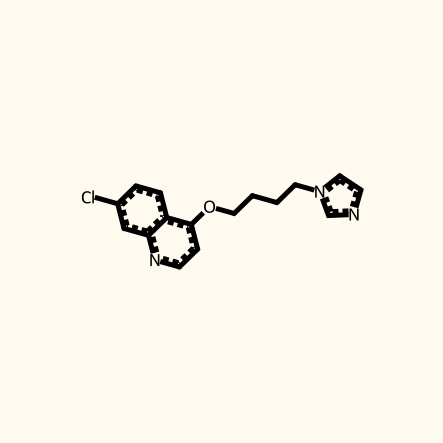 Clc1ccc2c(OCCCCn3ccnc3)ccnc2c1